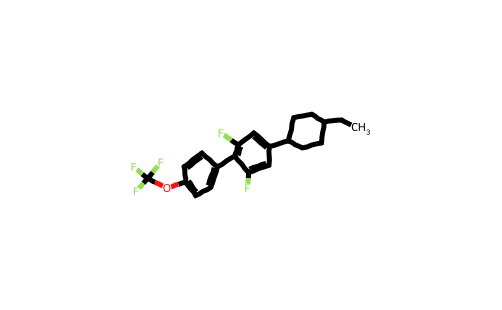 CCC1CCC(c2cc(F)c(-c3ccc(OC(F)(F)F)cc3)c(F)c2)CC1